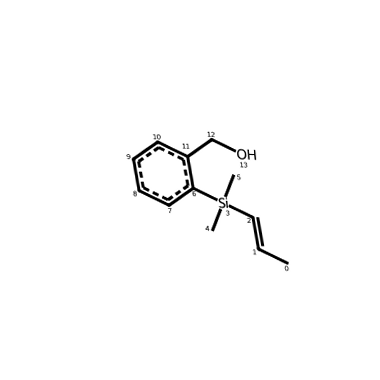 CC=C[Si](C)(C)c1ccccc1CO